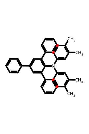 Cc1ccc(N(c2ccc(C)c(C)c2)c2c(-c3ccccc3)cc(-c3ccccc3)cc2-c2ccccc2)cc1C